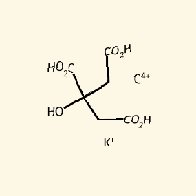 O=C(O)CC(O)(CC(=O)O)C(=O)O.[C+4].[K+]